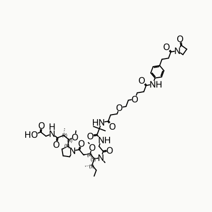 CC[C@H](C)[C@@H]([C@@H](CC(=O)N1CCC[C@H]1[C@H](OC)[C@@H](C)C(=O)NCC(=O)O)OC)N(C)C(=O)CNC(=O)C(C)(C)NC(=O)CCOCCOCCC(=O)Nc1ccc(CCC(=O)N2CCC2=O)cc1